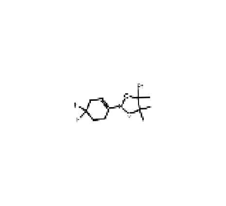 CCC1(C)OB(C2=CCC(F)(F)CC2)OC1(C)C